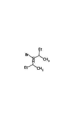 CCC(C)[SiH](Br)C(C)CC